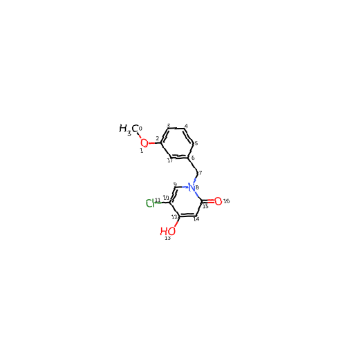 COc1cccc(Cn2cc(Cl)c(O)cc2=O)c1